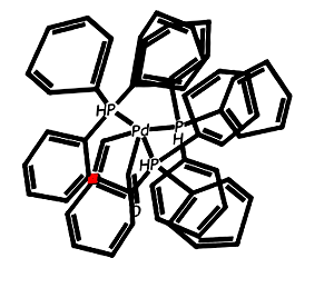 O=[CH][Pd]([CH]=O)([PH](c1ccccc1)(c1ccccc1)c1ccccc1)([PH](c1ccccc1)(c1ccccc1)c1ccccc1)[PH](c1ccccc1)(c1ccccc1)c1ccccc1